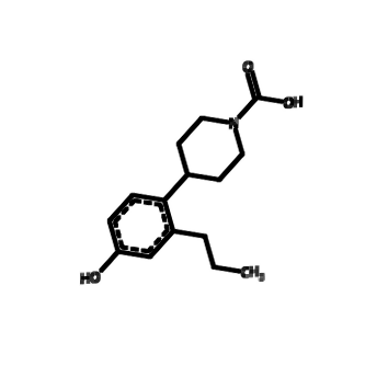 CCCc1cc(O)ccc1C1CCN(C(=O)O)CC1